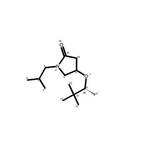 CC(C)CN1CC(O[C@H](C)C(C)(C)C)CC1=O